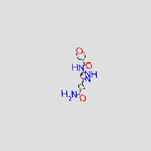 NC(=O)C1CC(c2cc(NC(=O)C3CCOCC3)[nH]n2)C1